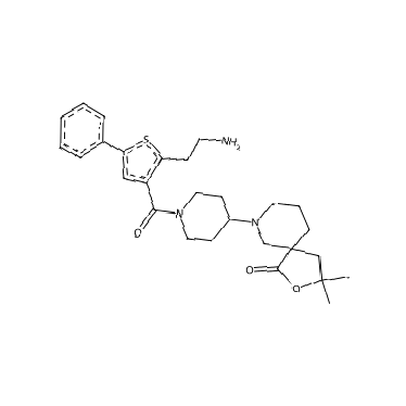 CC1(C)CC2(CCCN(C3CCN(C(=O)c4cc(-c5ccccc5)sc4CCN)CC3)C2)C(=O)O1